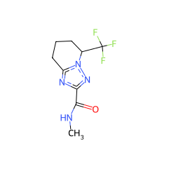 CNC(=O)c1nc2n(n1)C(C(F)(F)F)CCC2